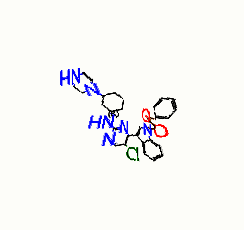 O=S(=O)(c1ccccc1)n1cc(-c2nc(N[C@@H]3CCCC(N4CCNCC4)C3)ncc2Cl)c2ccccc21